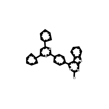 Clc1nc(-c2ccc(-c3nc(-c4ccccc4)cc(-c4ccccc4)n3)cc2)c2c(n1)sc1ccccc12